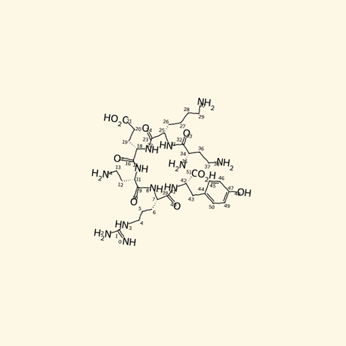 N=C(N)NCCC[C@H](NC(=O)[C@H](CCN)NC(=O)[C@H](CCC(=O)O)NC(=O)[C@H](CCCCN)NC(=O)[C@@H](N)CCN)C(=O)N[C@@H](Cc1ccc(O)cc1)C(=O)O